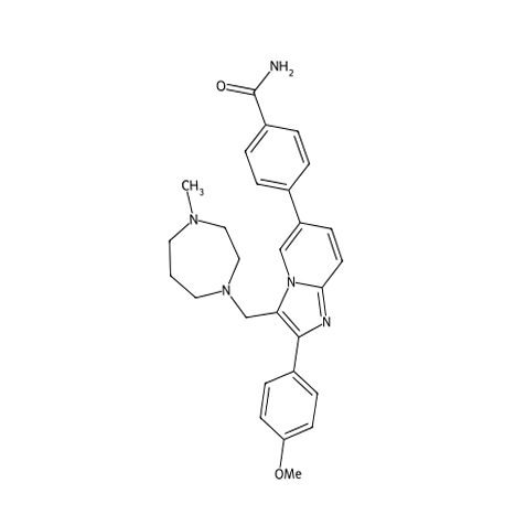 COc1ccc(-c2nc3ccc(-c4ccc(C(N)=O)cc4)cn3c2CN2CCCN(C)CC2)cc1